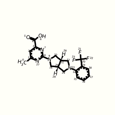 Cc1cc(C(=O)O)nc(N2C[C@@H]3CN(c4ccccc4C(F)(F)F)C[C@@H]3C2)n1